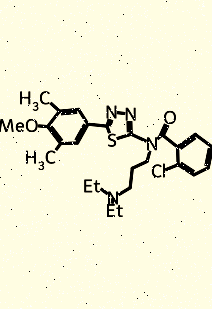 CCN(CC)CCCN(C(=O)c1ccccc1Cl)c1nnc(-c2cc(C)c(OC)c(C)c2)s1